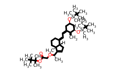 C=C1C(=CC=C2CCC[C@]3(C)C([C@H](C)OCC(=O)OC(C)(C)C(C)(C)C)=CC[C@@H]23)C[C@@H](O[Si](C)(C)C(C)(C)C)C[C@@H]1O[Si](C)(C)C(C)(C)C